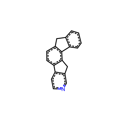 c1ccc2c(c1)Cc1ccc3c(c1-2)Cc1cnccc1-3